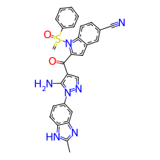 C=S(=O)(c1ccccc1)n1c(C(=O)c2cnn(-c3ccc4[nH]c(C)nc4c3)c2N)cc2cc(C#N)ccc21